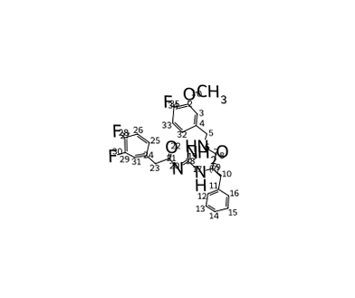 COc1cc(CNC(=O)[C@@H](Cc2ccccc2)NC(N)=NC(=O)Cc2ccc(F)c(F)c2)ccc1F